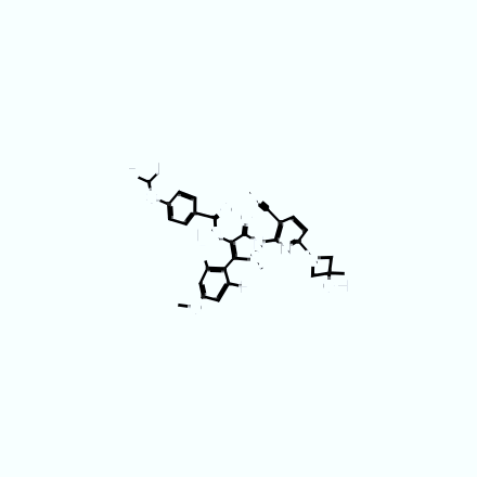 COc1cc(F)c(-c2c(NC(=O)c3ccc(OC(F)F)cc3)c(=O)n(-c3nc(N4CC(C)(O)C4)ccc3C#N)n2C)c(F)c1